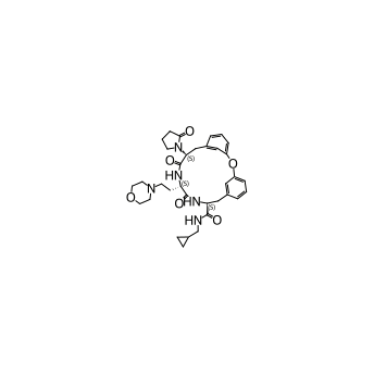 O=C(NCC1CC1)[C@@H]1Cc2cccc(c2)Oc2cccc(c2)C[C@H](N2CCCC2=O)C(=O)N[C@@H](CCN2CCOCC2)C(=O)N1